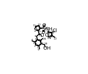 Cc1cc(C)c(CC(=O)c2sccc2S(=O)(=O)Nc2onc(C)c2Cl)c(C)c1CO